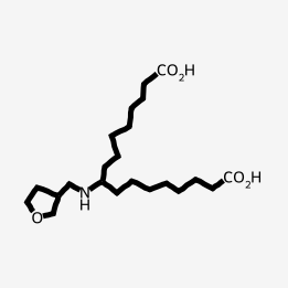 O=C(O)CCCCCCCC(CCCCCCCC(=O)O)NCC1CCOC1